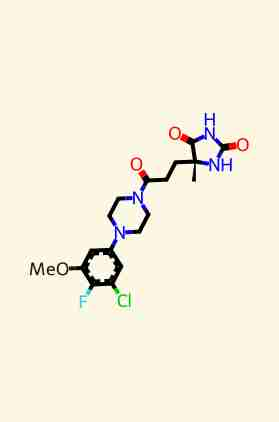 COc1cc(N2CCN(C(=O)CC[C@@]3(C)NC(=O)NC3=O)CC2)cc(Cl)c1F